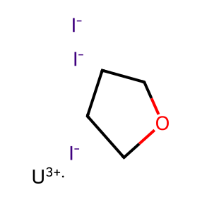 C1CCOC1.[I-].[I-].[I-].[U+3]